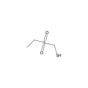 CCS(=O)(=O)CS